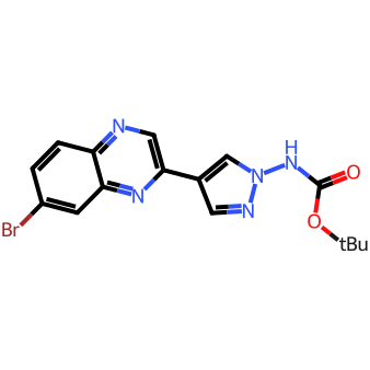 CC(C)(C)OC(=O)Nn1cc(-c2cnc3ccc(Br)cc3n2)cn1